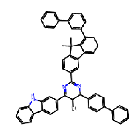 CCC1C(c2ccc3c(c2)[nH]c2ccccc23)=NC(c2ccc3c(c2)C2=CCCC(c4cccc(-c5ccccc5)c4)=C2C3(C)C)=NC1c1ccc(-c2ccccc2)cc1